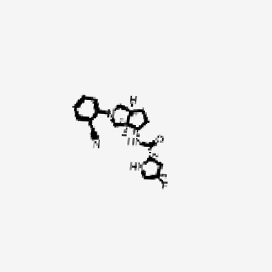 N#Cc1ccccc1N1C[C@H]2CC[C@H](NC(=O)[C@@H]3C[C@@H](F)CN3)[C@H]2C1